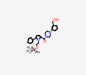 CC(C)(C)[Si](C)(C)OCCn1c(C(=O)N2CCN(c3cccc(CO)c3)CC2)ccc1-c1ccccc1